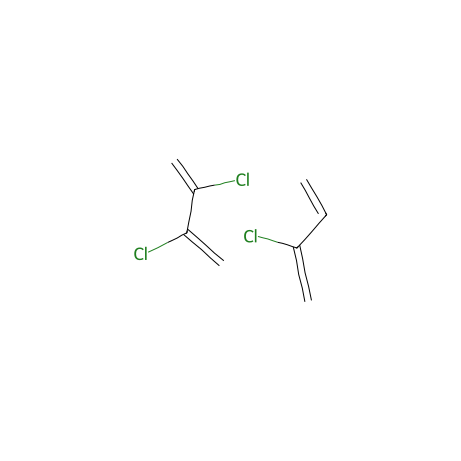 C=C(Cl)C(=C)Cl.C=CC(=C)Cl